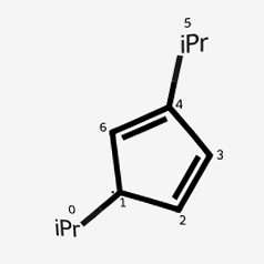 CC(C)[C]1C=CC(C(C)C)=C1